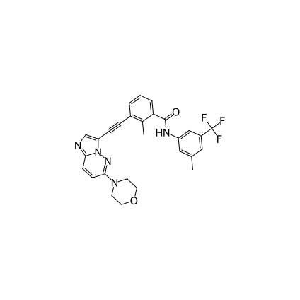 Cc1cc(NC(=O)c2cccc(C#Cc3cnc4ccc(N5CCOCC5)nn34)c2C)cc(C(F)(F)F)c1